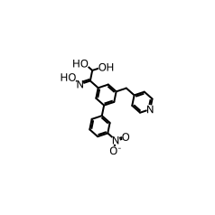 O=[N+]([O-])c1cccc(-c2cc(Cc3ccncc3)cc(C(=NO)C(O)O)c2)c1